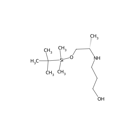 C[C@@H](CO[Si](C)(C)C(C)(C)C)NCCCO